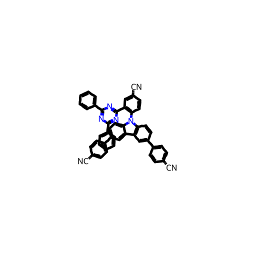 N#Cc1ccc(-c2ccc3c(c2)c2cc(-c4ccc(C#N)cc4)ccc2n3-c2ccc(C#N)cc2-c2nc(-c3ccccc3)nc(-c3ccccc3)n2)cc1